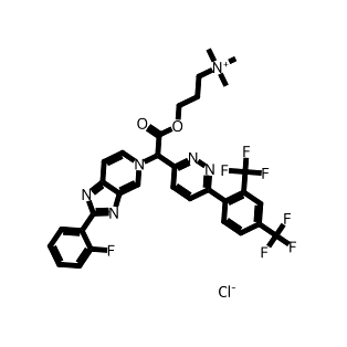 C[N+](C)(C)CCCOC(=O)C(c1ccc(-c2ccc(C(F)(F)F)cc2C(F)(F)F)nn1)n1ccc2nc(-c3ccccc3F)nc-2c1.[Cl-]